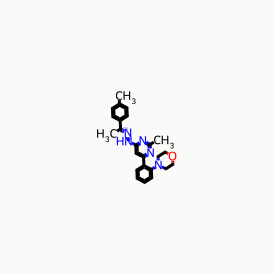 C/C(=N\Nc1cc(-c2ccccc2N2CCOCC2)nc(C)n1)c1ccc(C)cc1